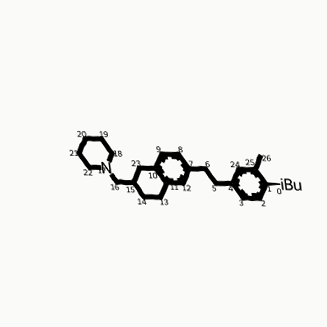 CC[C@H](C)c1ccc(CCc2ccc3c(c2)CCC(CN2CCCCC2)C3)cc1C